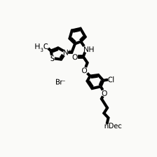 CCCCCCCCCCCCCCOc1ccc(OCC(=O)Nc2ccccc2C[n+]2csc(C)c2)cc1Cl.[Br-]